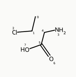 CCCl.NCC(=O)O